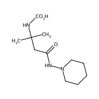 CC(C)(CC(=O)NN1CCCCC1)NC(=O)O